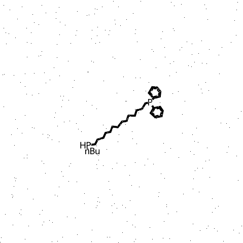 CCCCPCCCCCCCCCCCCCCP(c1ccccc1)c1ccccc1